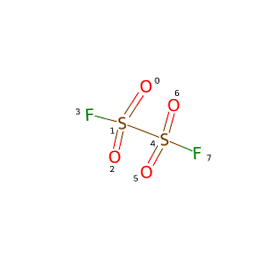 O=S(=O)(F)S(=O)(=O)F